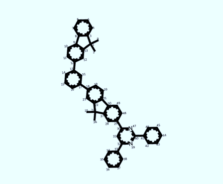 CC1(C)c2ccccc2-c2ccc(-c3cccc(-c4ccc5c(c4)C(C)(C)c4cc(-c6cc(-c7ccccc7)nc(-c7ccccc7)n6)ccc4-5)c3)cc21